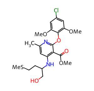 COC(=O)c1c(NC(CO)CCSC)cc(C)nc1Oc1c(OC)cc(Cl)cc1OC